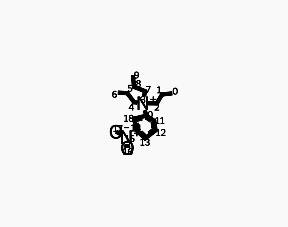 CCC[N+](CCC)(CCC)c1cccc([N+](=O)[O-])c1